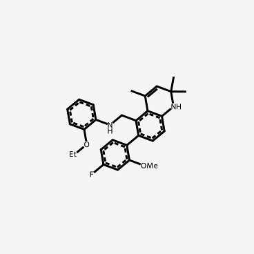 CCOc1ccccc1NCc1c(-c2ccc(F)cc2OC)ccc2c1C(C)=CC(C)(C)N2